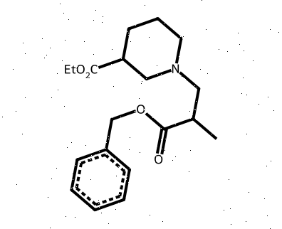 CCOC(=O)C1CCCN(CC(C)C(=O)OCc2ccccc2)C1